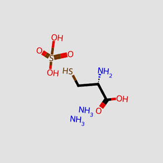 N.N.N[C@@H](CS)C(=O)O.O=S(=O)(O)O